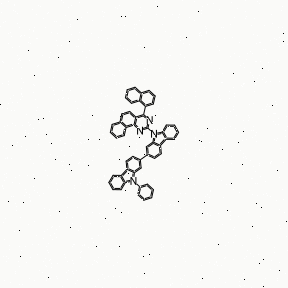 c1ccc(-n2c3ccccc3c3ccc(-c4ccc5c6ccccc6n(-c6nc(-c7cccc8ccccc78)c7ccc8ccccc8c7n6)c5c4)cc32)cc1